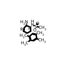 CS(=O)(=O)N[C@@H]1CCCC[C@H]1N.Cc1cc(C)c(C)cc1C.[Ru]